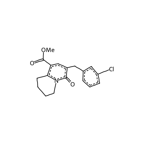 COC(=O)c1cc(Cc2cccc(Cl)c2)c(=O)n2c1CCCC2